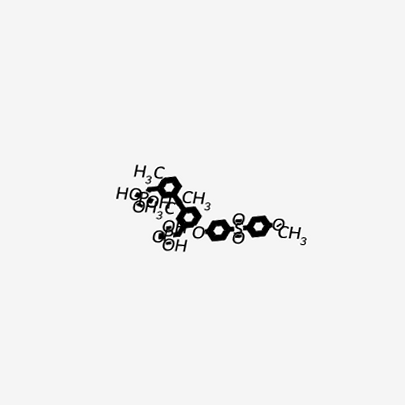 COc1ccc(S(=O)(=O)c2ccc(Oc3ccc(C(C)(C)c4ccc(C)c(CP(=O)(O)O)c4)cc3CP(=O)(O)O)cc2)cc1